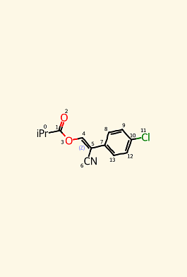 CC(C)C(=O)O/C=C(\C#N)c1ccc(Cl)cc1